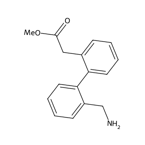 COC(=O)Cc1ccccc1-c1ccccc1CN